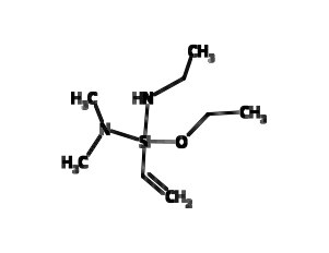 C=C[Si](NCC)(OCC)N(C)C